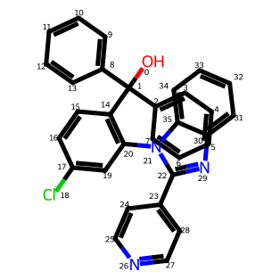 OC(c1ccccc1)(c1ccccc1)c1ccc(Cl)cc1-n1c(-c2ccncc2)nc2ccccc21